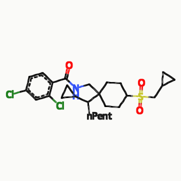 CCCCCC(C1CC1)C1(CNC(=O)c2ccc(Cl)cc2Cl)CCC(S(=O)(=O)CC2CC2)CC1